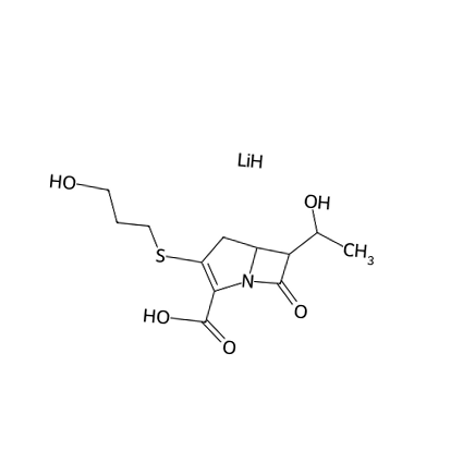 CC(O)C1C(=O)N2C(C(=O)O)=C(SCCCO)CC12.[LiH]